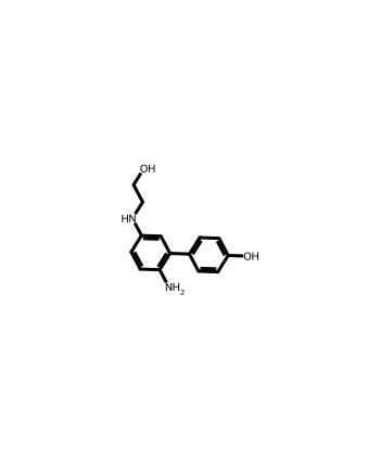 Nc1ccc(NCCO)cc1-c1ccc(O)cc1